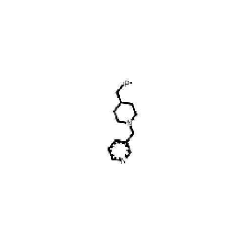 CC(C)CC1CCN(Cc2cccnc2)CC1